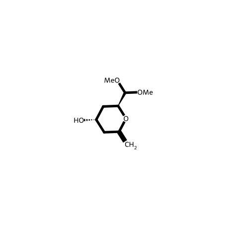 C=C1C[C@H](O)C[C@@H](C(OC)OC)O1